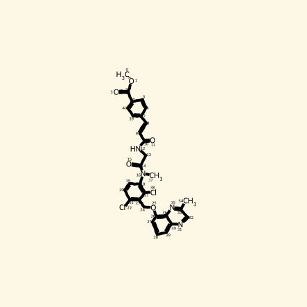 COC(=O)c1ccc(/C=C/C(=O)NCC(=O)N(C)c2ccc(Cl)c(COc3cccc4ncc(C)nc34)c2Cl)cc1